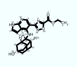 CCOC(=O)c1nc(-c2cnc3[nH]ccc3c2N[C@H]2[C@@H]3CC4C[C@H]2C[C@@](O)(C4)C3)no1